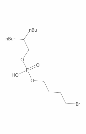 CCCCC(CCCC)COP(=O)(O)OCCCCBr